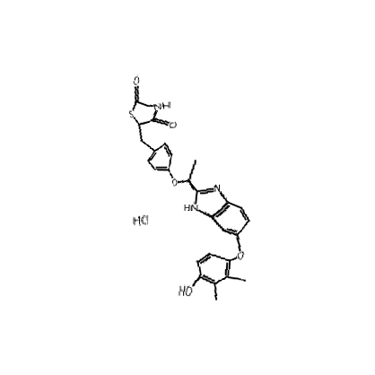 Cc1c(O)ccc(Oc2ccc3nc(C(C)Oc4ccc(CC5SC(=O)NC5=O)cc4)[nH]c3c2)c1C.Cl